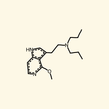 CCCN(CCC)CCc1c[nH]c2ccnc(OC)c12